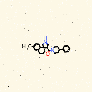 CC1=CCC2C(=C1)CCC[C@]21CNC[C@H]1C(=O)N1CCC(c2ccccc2)CC1